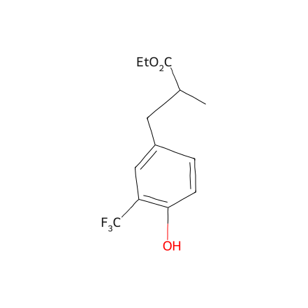 CCOC(=O)C(C)Cc1ccc(O)c(C(F)(F)F)c1